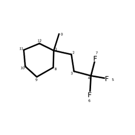 CC1(CCC(F)(F)F)CCCCC1